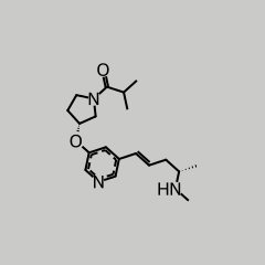 CN[C@@H](C)C/C=C/c1cncc(O[C@@H]2CCN(C(=O)C(C)C)C2)c1